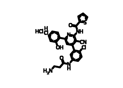 Cl.Cl.N#Cc1c(-c2cc(NC(=O)CCN)ccc2Cl)cc(-c2ccccc2O)nc1NC(=O)c1cccs1